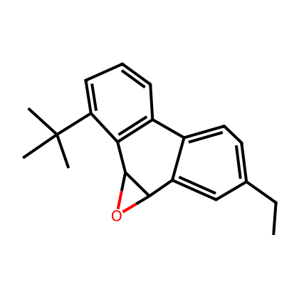 CCc1ccc2c(c1)C1OC1c1c-2cccc1C(C)(C)C